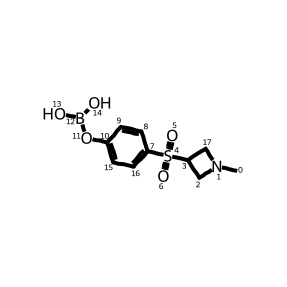 CN1CC(S(=O)(=O)c2ccc(OB(O)O)cc2)C1